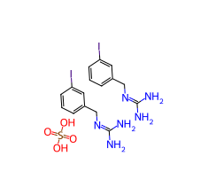 NC(N)=NCc1cccc(I)c1.NC(N)=NCc1cccc(I)c1.O=S(=O)(O)O